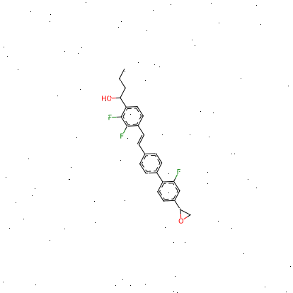 CCCC(O)c1ccc(/C=C/c2ccc(-c3ccc(C4CO4)cc3F)cc2)c(F)c1F